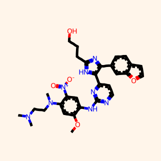 COc1cc(N(C)CCN(C)C)c([N+](=O)[O-])cc1Nc1nccc(-c2[nH]c(CCCO)nc2-c2ccc3ccoc3c2)n1